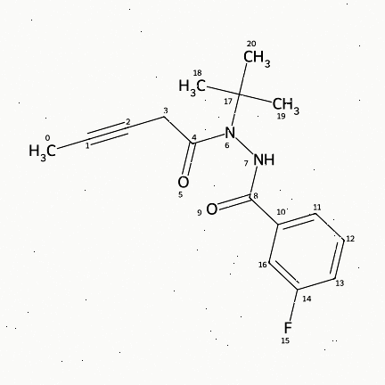 CC#CCC(=O)N(NC(=O)c1cccc(F)c1)C(C)(C)C